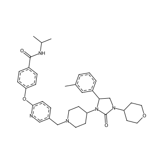 Cc1cccc(C2CN(C3CCOCC3)C(=O)N2C2CCN(Cc3ccc(Oc4ccc(C(=O)NC(C)C)cc4)nc3)CC2)c1